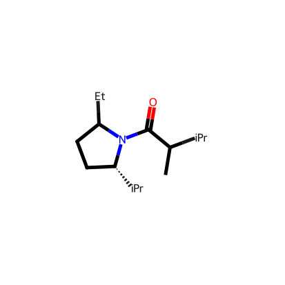 CCC1CC[C@@H](C(C)C)N1C(=O)C(C)C(C)C